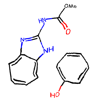 COC(=O)Nc1nc2ccccc2[nH]1.Oc1ccccc1